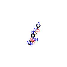 CN1CCC(C(=O)Nc2nc3ccc(NS(=O)(=O)c4cnccn4)cc3s2)CC1